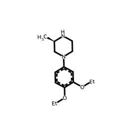 CCOc1ccc(N2CCN[C@H](C)C2)cc1OCC